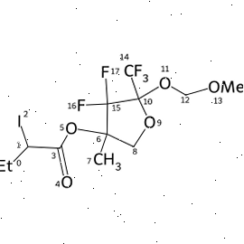 CCC(I)C(=O)OC1(C)COC(OCOC)(C(F)(F)F)C1(F)F